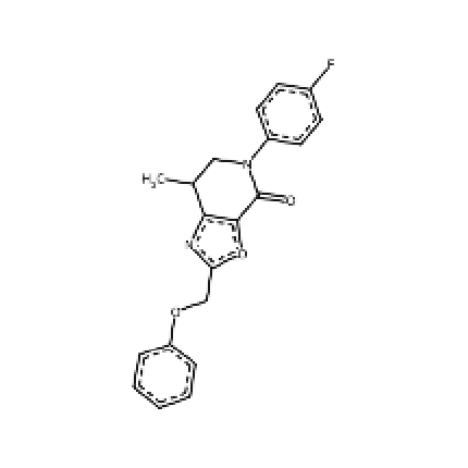 CC1CN(c2ccc(F)cc2)C(=O)c2oc(COc3ccccc3)nc21